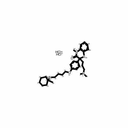 CN(C)CCCC1(c2ccc(OCCCCNC3(C)CCCCC3)cc2)Sc2ccccc2N(C)C1=O.Cl.Cl